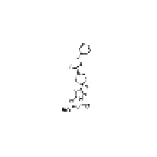 O=C(OCc1ccccc1)N1CCC(F)(c2nn3c(=O)cc(O)nc3s2)CC1